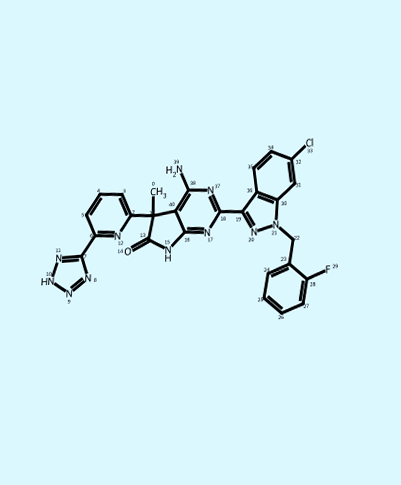 CC1(c2cccc(-c3nn[nH]n3)n2)C(=O)Nc2nc(-c3nn(Cc4ccccc4F)c4cc(Cl)ccc34)nc(N)c21